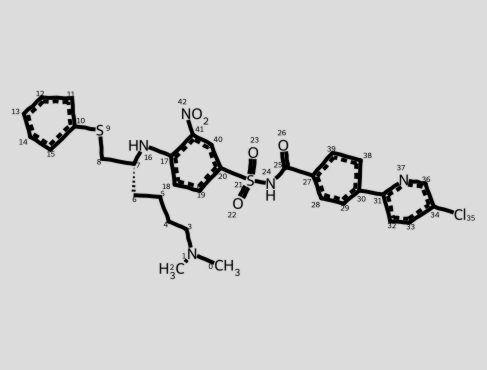 CN(C)CCCC[C@H](CSc1ccccc1)Nc1ccc(S(=O)(=O)NC(=O)c2ccc(-c3ccc(Cl)cn3)cc2)cc1[N+](=O)[O-]